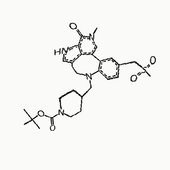 Cn1cc2c3c(c[nH]c3c1=O)CN(CC1CCN(C(=O)OC(C)(C)C)CC1)c1ccc(CS(C)(=O)=O)cc1-2